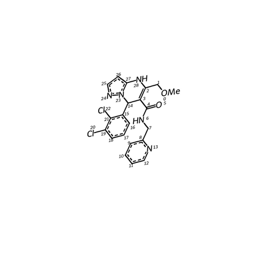 COCC1=C(C(=O)NCc2ccccn2)C(c2cccc(Cl)c2Cl)n2nccc2N1